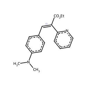 CCOC(=O)/C(=C/c1ccc(N(C)C)cc1)c1ccccn1